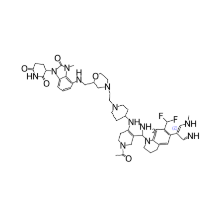 CN/C=C(\C=N)c1cc2c(cc1C(F)F)N(C(N)C1=C(NC3CCN(CCN4CCOC(CNc5cccc6c5n(C)c(=O)n6C5CCC(=O)NC5=O)C4)CC3)CCN(C(C)=O)C1)CCC2